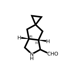 O=CC1NC[C@@H]2CC3(CC3)C[C@H]12